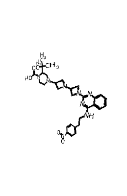 CC(C)(C)C1CN(C2CN(C3CN(c4nc(NCCc5ccc([N+](=O)[O-])cc5)c5ccccc5n4)C3)C2)CCN1C(=O)O